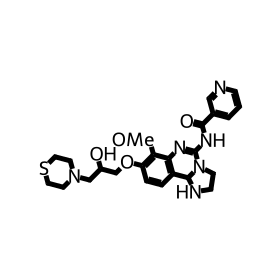 COc1c(OCC(O)CN2CCSCC2)ccc2c1N=C(NC(=O)c1cccnc1)N1CCNC21